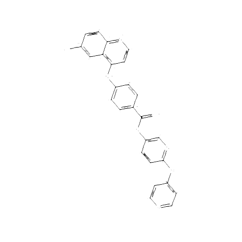 O=C(Nc1ccc(Nc2ccncc2)nc1)c1ccc(Nc2ccnc3ccc(F)cc23)cc1